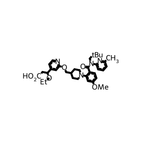 CCOC(CC(=O)O)c1ccnc(OCC2CCN(c3cc(OC)ccc3C(=O)N(CC(C)(C)C)c3cccc(C)n3)CC2)c1